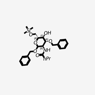 CCCC(=O)N[C@H]1C(OCc2ccccc2)O[C@H](CO[Si](C)(C)C)[C@@H](O)[C@@H]1OCc1ccccc1